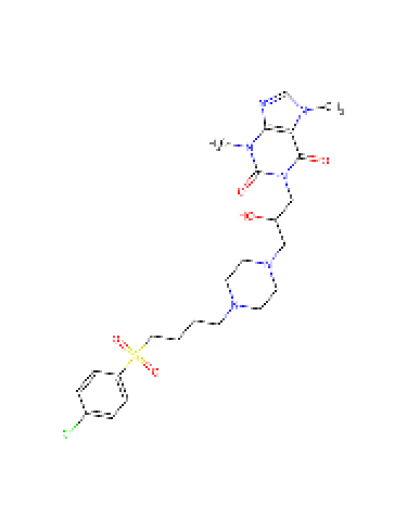 Cn1cnc2c1c(=O)n(CC(O)CN1CCN(CCCCS(=O)(=O)c3ccc(Cl)cc3)CC1)c(=O)n2C